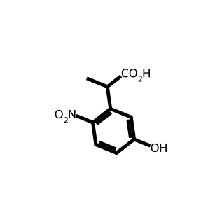 CC(C(=O)O)c1cc(O)ccc1[N+](=O)[O-]